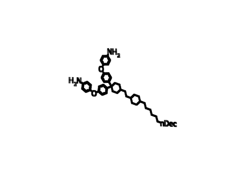 CCCCCCCCCCCCCCCCC1CCC(CCC2CCC(c3ccc(Oc4ccc(N)cc4)cc3)(c3ccc(Oc4ccc(N)cc4)cc3)CC2)CC1